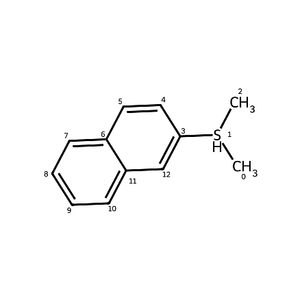 C[SH](C)c1ccc2ccccc2c1